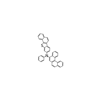 c1ccc(N(c2ccc3c(c2)sc2c4ccccc4ccc32)c2cc3ccc4ccccc4c3c3ccccc23)cc1